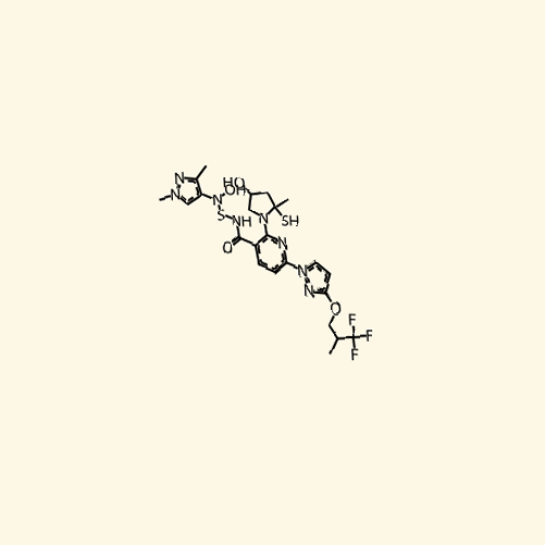 Cc1nn(C)cc1N(O)SNC(=O)c1ccc(-n2ccc(OCC(C)C(F)(F)F)n2)nc1N1CC(O)CC1(C)S